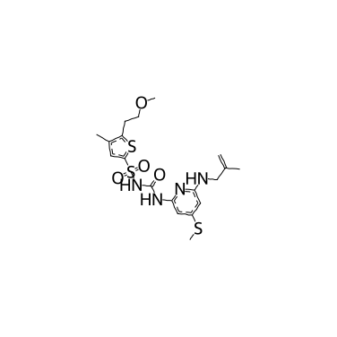 C=C(C)CNc1cc(SC)cc(NC(=O)NS(=O)(=O)c2cc(C)c(CCOC)s2)n1